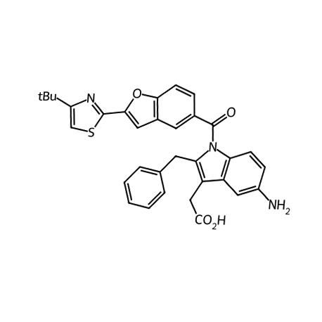 CC(C)(C)c1csc(-c2cc3cc(C(=O)n4c(Cc5ccccc5)c(CC(=O)O)c5cc(N)ccc54)ccc3o2)n1